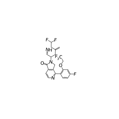 C=C(CC(F)F)CC(C=N)N1Cc2c(ccnc2-c2ccc(F)cc2OCC(F)(F)F)C1=O